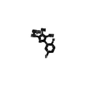 CCOC(=O)Nc1oc(-c2cc(F)ccc2F)c(O)c1O